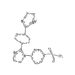 CS(=O)(=O)c1ccc(-n2ccnc2-c2ccc(-c3nnn[nH]3)nc2)cc1